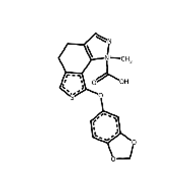 C[N+]1(C(=O)O)N=CC2=C1c1c(csc1Oc1ccc3c(c1)OCO3)CC2